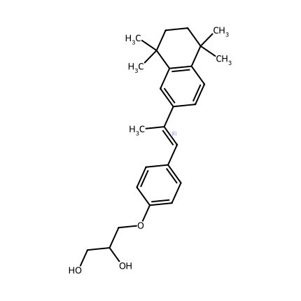 C/C(=C\c1ccc(OCC(O)CO)cc1)c1ccc2c(c1)C(C)(C)CCC2(C)C